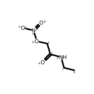 CCNC(=O)CO[N+](=O)[O-]